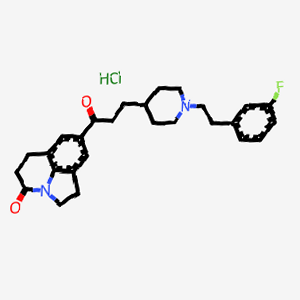 Cl.O=C(CCC1CCN(CCc2cccc(F)c2)CC1)c1cc2c3c(c1)CCN3C(=O)CC2